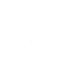 c1ccc(-c2nc3c4cccnc4c4cccnc4n3c2-c2ccccc2)cc1